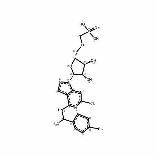 CC(Nc1nc(Cl)nc2c1cnn2[C@@H]1O[C@H](COCP(=O)(O)O)[C@@H](O)[C@H]1O)c1ccc(F)cc1